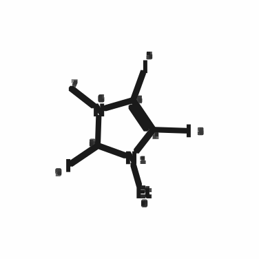 CCN1C(I)=C(I)N(C)C1I